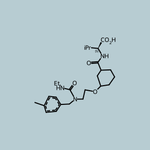 CCNC(=O)N(CCOC1CCCC(C(=O)N[C@H](C(=O)O)C(C)C)C1)Cc1ccc(C)cc1